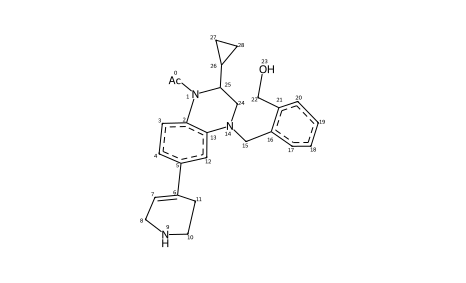 CC(=O)N1c2ccc(C3=CCNCC3)cc2N(Cc2ccccc2CO)CC1C1CC1